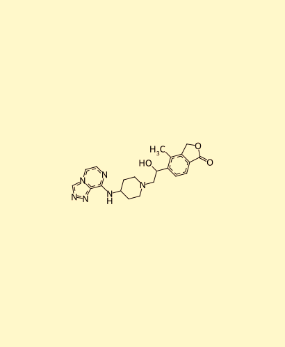 Cc1c(C(O)CN2CCC(Nc3nccn4cnnc34)CC2)ccc2c1COC2=O